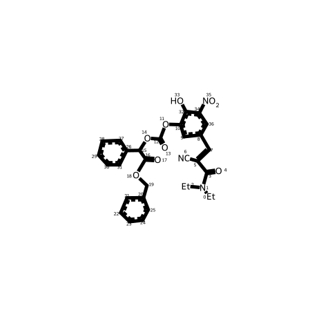 CCN(CC)C(=O)/C(C#N)=C/c1cc(OC(=O)OC(C(=O)OCc2ccccc2)c2ccccc2)c(O)c([N+](=O)[O-])c1